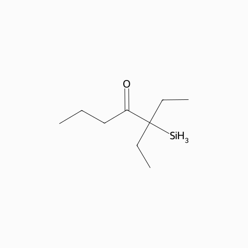 CCCC(=O)C([SiH3])(CC)CC